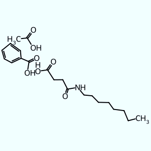 CC(=O)O.CCCCCCCCNC(=O)CCC(=O)O.O=C(O)c1ccccc1